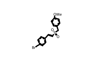 COc1ccc(CS(=O)(=O)C=Cc2ccc(Br)cc2)cc1